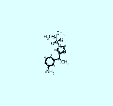 CC(c1cccc(N)c1)c1cn(S(=O)(=O)N(C)C)cn1